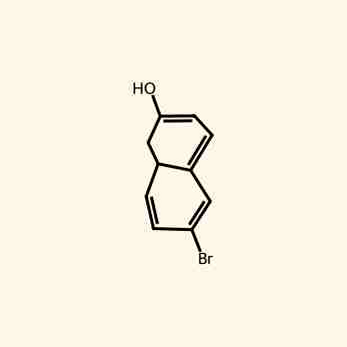 OC1=CC=C2C=C(Br)C=CC2C1